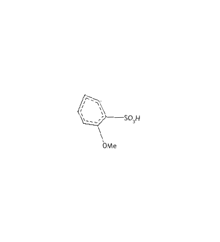 COc1ccc[c]c1S(=O)(=O)O